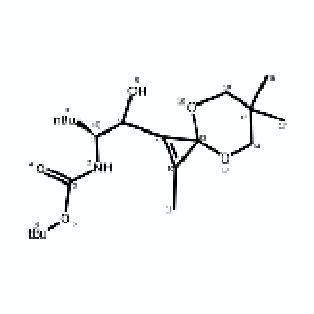 CCCC[C@H](NC(=O)OC(C)(C)C)C(O)C1=C(C)C12OCC(C)(C)CO2